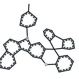 Cc1ccc(-n2c3cc4c(cc3c3c5ccccc5ccc32)Oc2ccccc2C42c3ccccc3-c3ccccc32)cc1